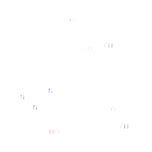 CCCc1cc(-n2nncc2-c2ccc3c(c2)OCCO3)c(O)cc1OC